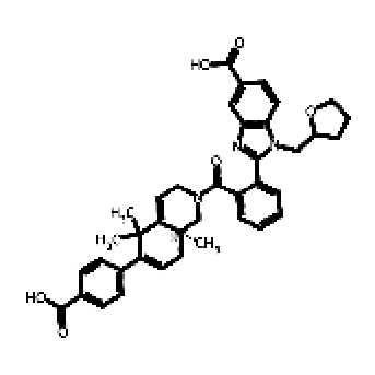 CC1(C)C(c2ccc(C(=O)O)cc2)=CC[C@]2(C)CN(C(=O)c3ccccc3-c3nc4cc(C(=O)O)ccc4n3CC3CCCO3)CC=C12